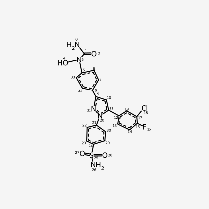 NC(=O)N(O)c1ccc(-c2cc(-c3ccc(F)c(Cl)c3)n(-c3ccc(S(N)(=O)=O)cc3)n2)cc1